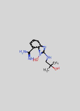 CC(C)(O)CNc1nc2cccc(C(=N)N)c2n1O